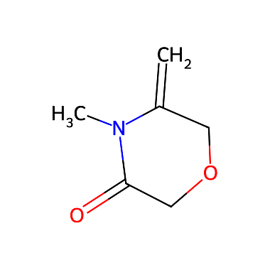 C=C1COCC(=O)N1C